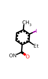 CCc1c(C(=O)N=O)ccc(C)c1I